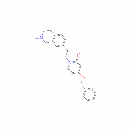 CN1CCc2ccc(CCn3ccc(OCc4ccccc4)cc3=O)cc2C1